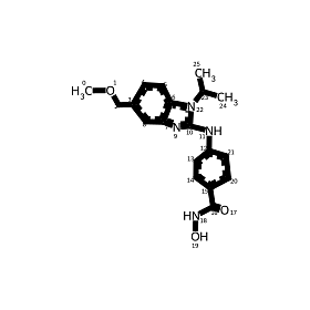 COCc1ccc2c(c1)nc(Nc1ccc(C(=O)NO)cc1)n2C(C)C